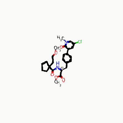 COCCC1(C(=O)N[C@@H](Cc2ccc(-c3cc(Cl)cn(C)c3=O)cc2)C(=O)OC)CCCC1